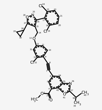 COC(=O)c1cc(C#Cc2ccc(OCc3c(-c4c(Cl)cccc4Cl)noc3C3CC3)cc2Cl)cc2nc(C(C)C)oc12